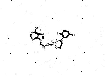 C[C@H](Cn1cnc2c(N)ncnc21)OC[P@]1(=O)OCC[C@H](c2cc(Cl)ccc2F)O1